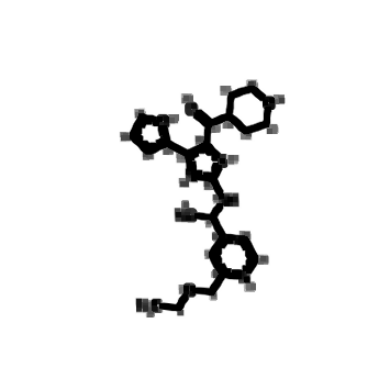 CCOCc1cc(C(O)Nc2nc(-c3ccco3)c(C(=O)C3CCOCC3)s2)ccn1